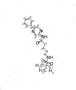 CC(C)(C)S(=O)(=O)NCCCCC(=O)Nc1cnc(-c2ccccc2)cn1